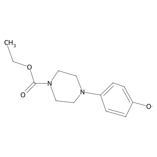 CCOC(=O)N1CCN(c2ccc([O])cc2)CC1